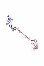 CC(C)(C)c1cc(NC(=O)Nc2ccc(-n3cnc4cc(OCCOCCOCCOCCOCC#Cc5cccc6c5C(=O)N(C5CCC(=O)NC5=O)C6=O)ccc43)cc2)[nH]n1